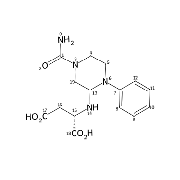 NC(=O)N1CCN(c2ccccc2)C(N[C@@H](CC(=O)O)C(=O)O)C1